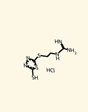 Cl.N=C(N)NCCSc1nnc(S)s1